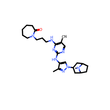 Cc1nn(C2CC3CCC(C2)N3C)cc1Nc1ncc(C#N)c(NCCCN2CCCCCC2=O)n1